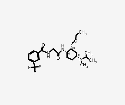 CCOC[C@@H]1C[C@H](N(C)C(C)C)CC[C@@H]1NC(=O)CNC(=O)c1cccc(C(F)(F)F)c1